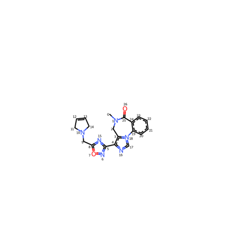 CN1Cc2c(-c3noc(CN4CC=CC4)n3)ncn2-c2ccccc2C1=O